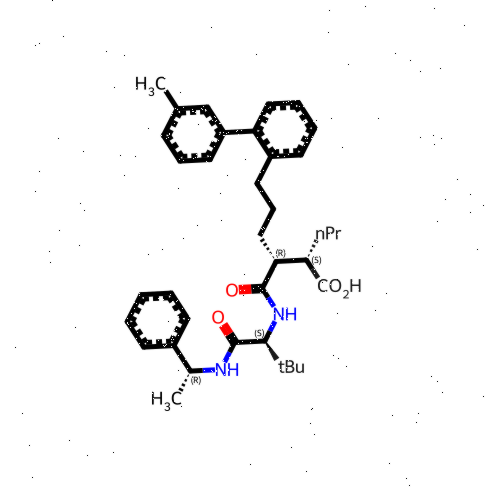 CCC[C@H](C(=O)O)[C@@H](CCCc1ccccc1-c1cccc(C)c1)C(=O)N[C@H](C(=O)N[C@H](C)c1ccccc1)C(C)(C)C